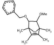 COC1C(OCc2ccccc2)C2(C)OC1(C)C(C)=C2C